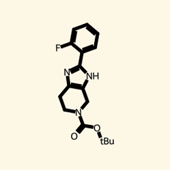 CC(C)(C)OC(=O)N1CCc2nc(-c3ccccc3F)[nH]c2C1